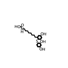 O=C(O)NCCCCCCCCc1cc(O)ccc1Sc1ccc(O)cc1O